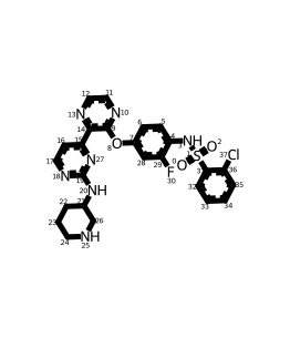 O=S(=O)(Nc1ccc(Oc2nccnc2-c2ccnc(NC3CCCNC3)n2)cc1F)c1ccccc1Cl